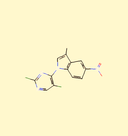 Cc1cn(-c2nc(Cl)ncc2Cl)c2ccc([N+](=O)[O-])cc12